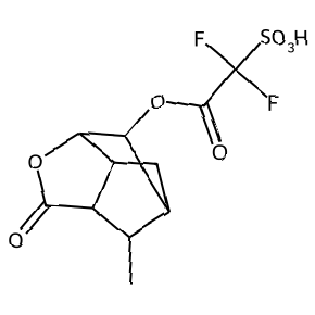 CC1C2CC3C(OC(=O)C13)C2OC(=O)C(F)(F)S(=O)(=O)O